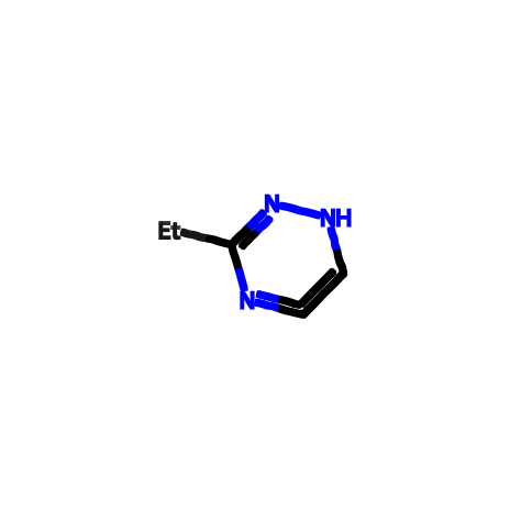 CCC1=NNC=C=N1